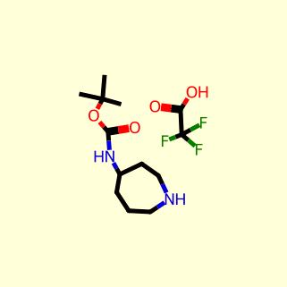 CC(C)(C)OC(=O)NC1CCCNCC1.O=C(O)C(F)(F)F